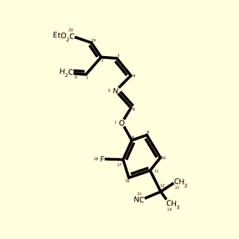 C=CC(/C=C\N=C\Oc1ccc(C(C)(C)C#N)cc1F)=C\C(=O)OCC